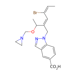 C/C=C(Br)\C=C(\Cn1ncc2cc(C(=O)O)ccc21)C(C)OCN1CC1